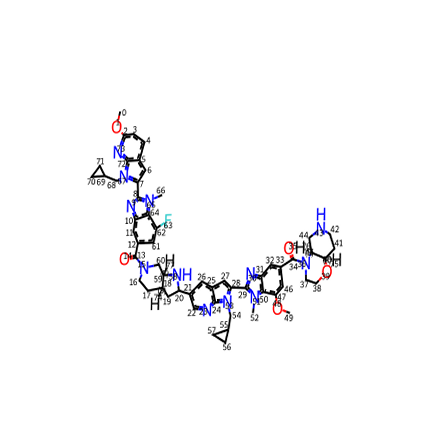 COc1ccc2cc(-c3nc4cc(C(=O)N5CC[C@H]6CC(c7cnc8c(c7)cc(-c7nc9cc(C(=O)N%10CCO[C@@H]%11CCNC[C@@H]%11%10)cc(OC)c9n7C)n8CC7CC7)N[C@H]6C5)cc(F)c4n3C)n(CC3CC3)c2n1